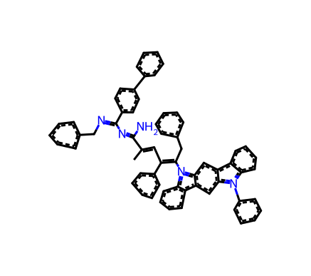 CC(=C\C(=C(/Cc1ccccc1)n1c2ccccc2c2cc3c(cc21)c1ccccc1n3-c1ccccc1)c1ccccc1)/C(N)=N/C(=N\Cc1ccccc1)c1ccc(-c2ccccc2)cc1